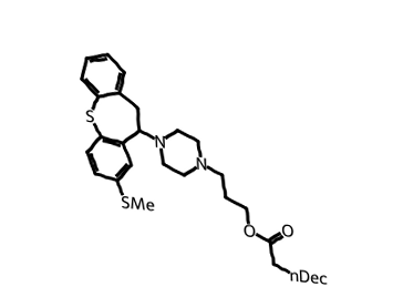 CCCCCCCCCCCC(=O)OCCCN1CCN(C2Cc3ccccc3Sc3ccc(SC)cc32)CC1